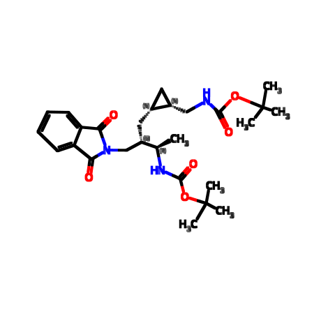 C[C@@H](NC(=O)OC(C)(C)C)[C@@H](C[C@@H]1C[C@@H]1CNC(=O)OC(C)(C)C)CN1C(=O)c2ccccc2C1=O